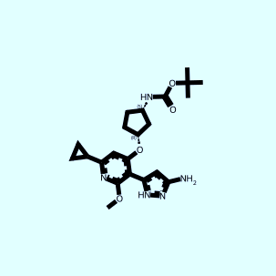 COc1nc(C2CC2)cc(O[C@@H]2CC[C@H](NC(=O)OC(C)(C)C)C2)c1-c1cc(N)n[nH]1